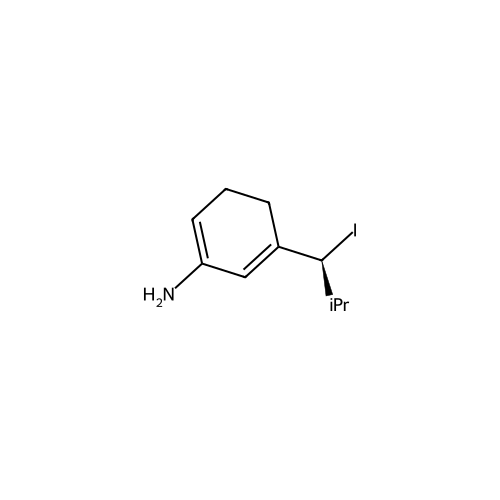 CC(C)[C@H](I)C1=CC(N)=CCC1